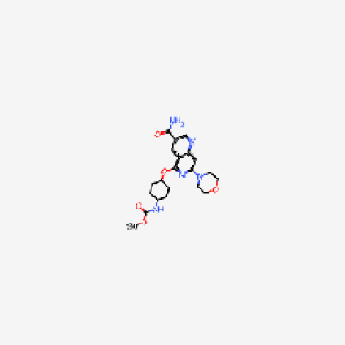 CC(C)(C)OC(=O)N[C@H]1CC[C@@H](Oc2nc(N3CCOCC3)cc3ncc(C(N)=O)cc23)CC1